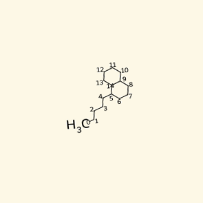 CCCCCC1CCCC2CCCCC12